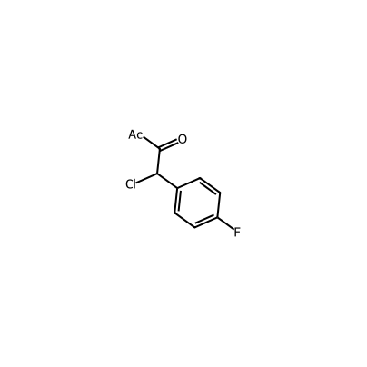 CC(=O)C(=O)C(Cl)c1ccc(F)cc1